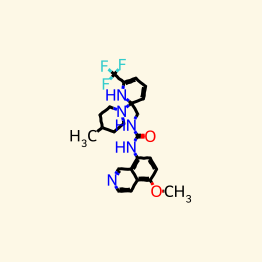 COc1ccc(NC(=O)NCC2(N3CCC(C)CC3)C=CC=C(C(F)(F)F)N2)c2cnccc12